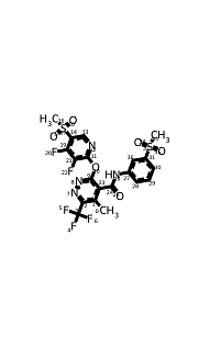 Cc1c(C(F)(F)F)nnc(Oc2ncc(S(C)(=O)=O)c(F)c2F)c1C(=O)Nc1cccc(S(C)(=O)=O)c1